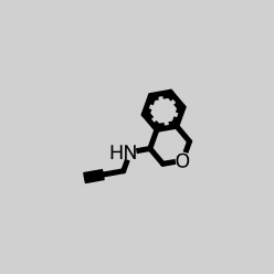 C#CCNC1COCc2ccccc21